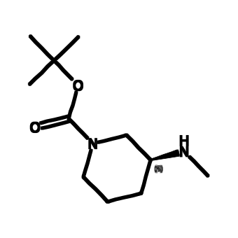 CN[C@H]1CCCN(C(=O)OC(C)(C)C)C1